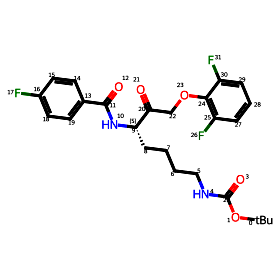 CC(C)(C)OC(=O)NCCCC[C@H](NC(=O)c1ccc(F)cc1)C(=O)COc1c(F)cccc1F